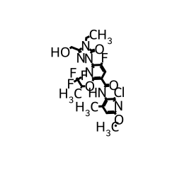 CCn1c(CO)nn(-c2nc(O[C@@H](C)C(F)(F)F)c(C(=O)Nc3c(C)cc(OC)nc3Cl)cc2F)c1=O